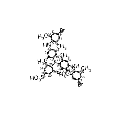 Cc1cc(Nc2c(C)cc(Br)cc2C)ccc1C(c1ccc(Nc2c(C)cc(Br)cc2C)cc1C)c1ccc(S(=O)(=O)O)cc1S(=O)(=O)O